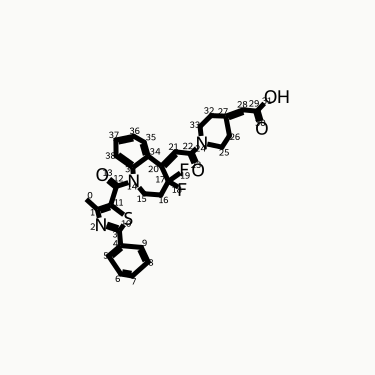 Cc1nc(-c2ccccc2)sc1C(=O)N1CCC(F)(F)C(=CC(=O)N2CCC(=CC(=O)O)CC2)c2ccccc21